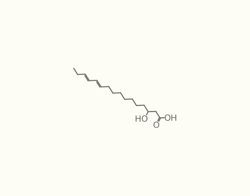 CC/C=C/C=C/CCCCCCCC(O)CC(=O)O